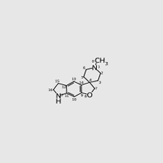 CN1CCC2(CC1)COc1cc3c(cc12)CCN3